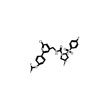 O=C(NCc1cc(Cl)nc(-c2ccc(OC(F)F)cc2)c1)N1C[C@H](F)C[C@@H]1S(=O)(=O)c1ccc(F)cc1